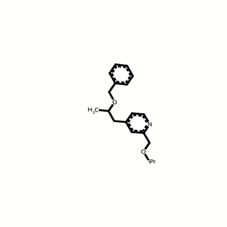 CC(C)OCc1cc(CC(C)OCc2ccccc2)ccn1